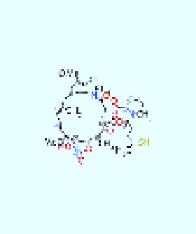 COc1cc2cc(c1Cl)N(C)C(=O)C[C@H](OC(=O)[C@H](C)N(C)C(=O)CCC(C)S)[C@]1(C)OC1[C@H](C)C1C[C@@](O)(NC(=O)O1)[C@H](OC)/C=C/C=C(\C)C2